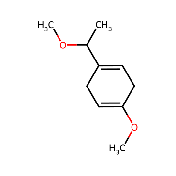 COC1=CCC(C(C)OC)=CC1